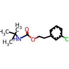 CC(C)(C)NC(=O)OCCc1cccc(Cl)c1